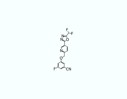 N#Cc1cc(F)cc(OCc2ccc(-c3nnc(C(F)F)o3)cn2)c1